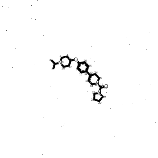 CC(C)N1CCC(Oc2ccc(C3=CCN(C(=O)N4CCCC4)CC3)cc2)CC1